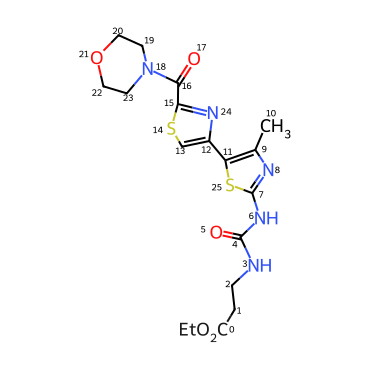 CCOC(=O)CCNC(=O)Nc1nc(C)c(-c2csc(C(=O)N3CCOCC3)n2)s1